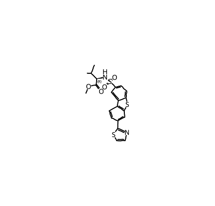 COC(=O)[C@H](NS(=O)(=O)c1ccc2sc3cc(-c4nccs4)ccc3c2c1)C(C)C